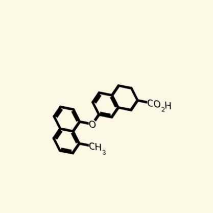 Cc1cccc2cccc(Oc3ccc4c(c3)CC(C(=O)O)CC4)c12